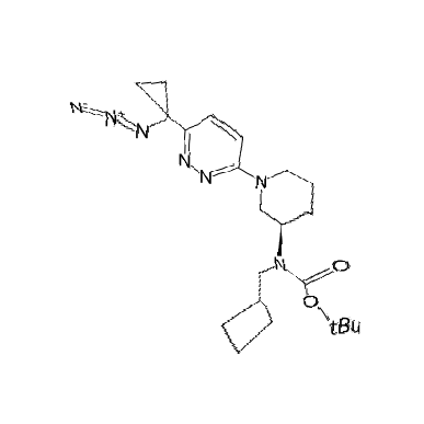 CC(C)(C)OC(=O)N(CC1CCC1)[C@@H]1CCCN(c2ccc(C3(N=[N+]=[N-])CC3)nn2)C1